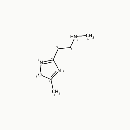 CNCCc1noc(C)n1